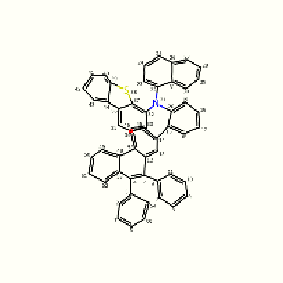 c1ccc(-c2c(-c3ccccc3)c3cc(-c4ccccc4N(c4cccc5ccccc45)c4cccc5c4sc4ccccc45)ccc3c3ccccc23)cc1